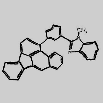 Cn1c(-c2cccc(-c3ccc4c5c(cc6ccccc6c35)-c3ccccc3-4)c2)nc2ccccc21